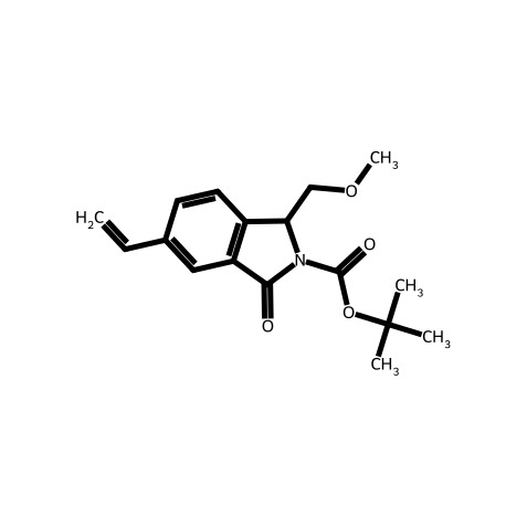 C=Cc1ccc2c(c1)C(=O)N(C(=O)OC(C)(C)C)C2COC